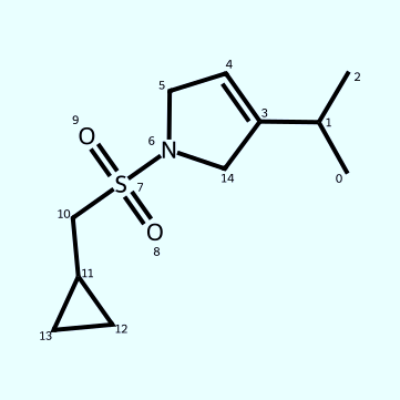 CC(C)C1=CCN(S(=O)(=O)CC2CC2)C1